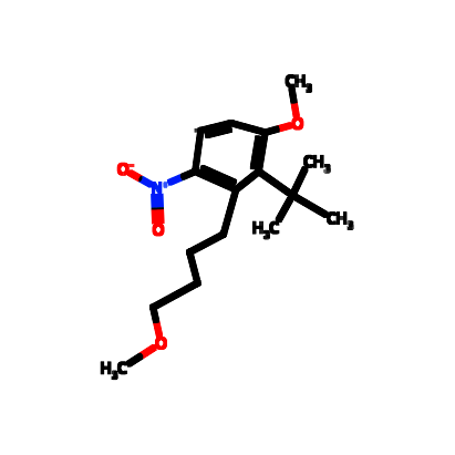 COCCCCc1c([N+](=O)[O-])[c]cc(OC)c1C(C)(C)C